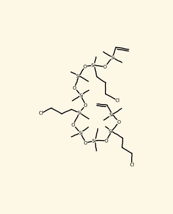 C=C[Si](C)(C)O[Si](C)(CCCCl)O[Si](C)(C)O[Si](C)(C)O[Si](C)(CCCCl)O[Si](C)(C)O[Si](C)(C)O[Si](C)(CCCCl)O[Si](C)(C)C=C